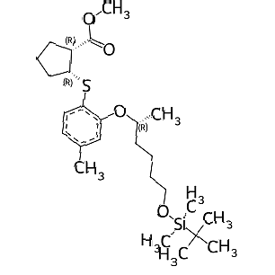 COC(=O)[C@H]1CCC[C@H]1Sc1ccc(C)cc1O[C@H](C)CCCCO[Si](C)(C)C(C)(C)C